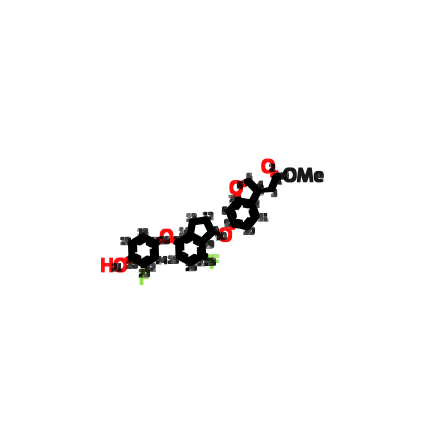 COC(=O)C[C@@H]1COc2cc(O[C@@H]3CCc4c(Oc5ccc(O)c(F)c5)ccc(F)c43)ccc21